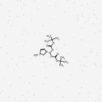 CC(C)(C)OC(=O)ON(OC(=O)OC(C)(C)C)[C@H]1C=C[C@@H](O)C1